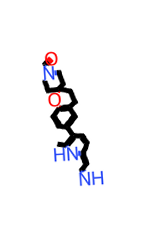 CC1=C(c2ccc3c(c2)CCC2(CCN(C=O)CC2)O3)C=C/C(=C/C=N)N1